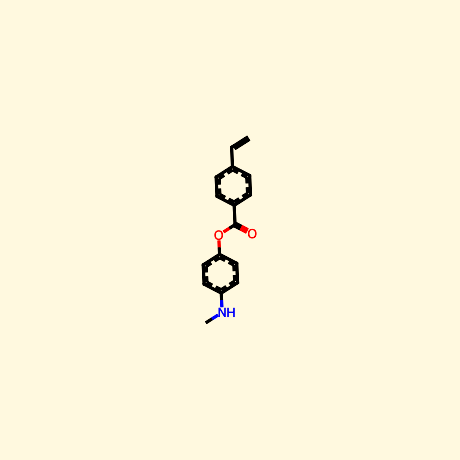 C=Cc1ccc(C(=O)Oc2ccc(NC)cc2)cc1